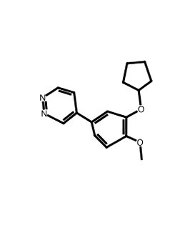 COc1ccc(-c2ccnnc2)cc1OC1CCCC1